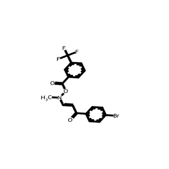 CN(C=CC(=O)c1ccc(Br)cc1)OC(=O)c1cccc(C(F)(F)F)c1